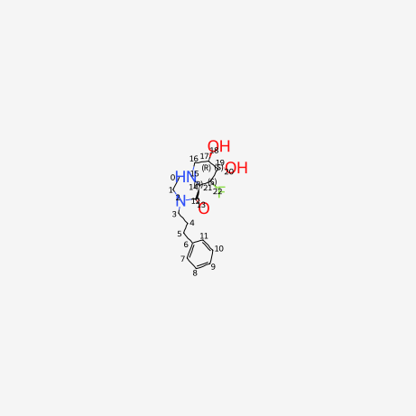 CCN(CCCc1ccccc1)C(=O)[C@H]1NC[C@@H](O)[C@H](O)[C@H]1F